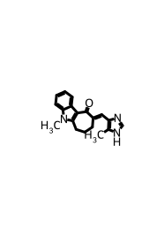 Cc1[nH]cnc1/C=C1\CCCc2c(c3ccccc3n2C)C1=O